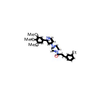 CCc1cccc(C=CC(=O)N2CCN(c3ccnc(-c4cc(OC)c(OC)c(OC)c4)c3)CC2)c1